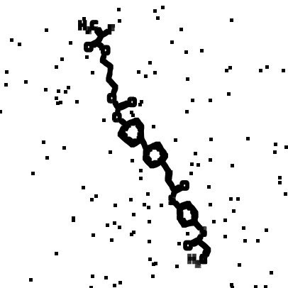 C=CC(=O)Sc1ccc(SC(=O)/C=C/c2ccc(-c3ccc(OC(=O)OCCCCOC(=O)C(=C)F)cc3)cc2)cc1